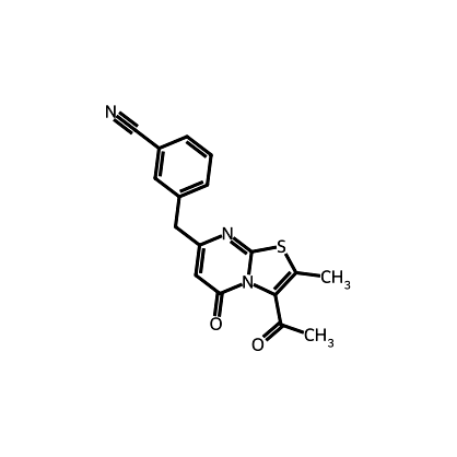 CC(=O)c1c(C)sc2nc(Cc3cccc(C#N)c3)cc(=O)n12